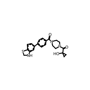 O=C(c1ccc(-c2ccc3c(c2)NCS3)cc1)N1CCN(C(=O)C2(O)CC2)CC1